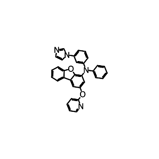 c1ccc(N(c2cccc(-n3ccnc3)c2)c2cc(Oc3ccccn3)cc3c2oc2ccccc23)cc1